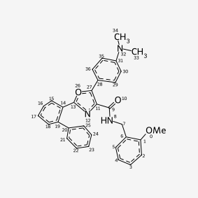 COc1ccccc1CNC(=O)c1nc(-c2ccccc2-c2ccccc2)oc1-c1ccc(N(C)C)cc1